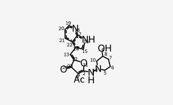 CC(=O)C1=C(NN2CCCC(O)C2)O/C(=C\c2c[nH]c3ncccc23)C1=O